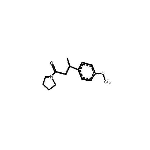 CC(CC(=O)N1CCCC1)c1ccc(OC(F)(F)F)cc1